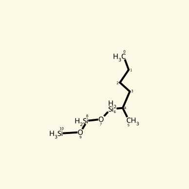 CCCCC(C)[SiH2]O[SiH2]O[SiH3]